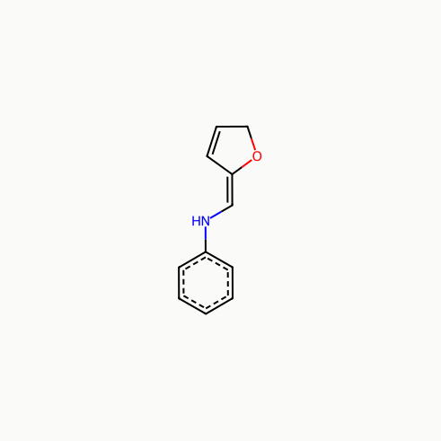 C1=CC(=CNc2ccccc2)OC1